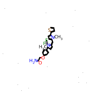 Cn1c(/C=C2/C=CC(C)(c3ccc(OCC(N)=O)cc3)N2B(F)F)ccc1-c1cccs1